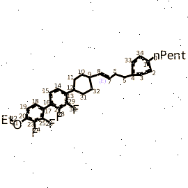 CCCCCc1ccc(CC/C=C/C2CCC(c3ccc(-c4ccc(OCC)c(F)c4F)c(F)c3F)CC2)cc1